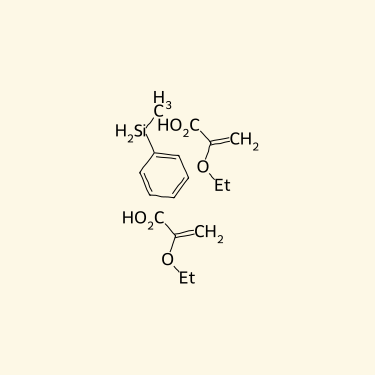 C=C(OCC)C(=O)O.C=C(OCC)C(=O)O.C[SiH2]c1ccccc1